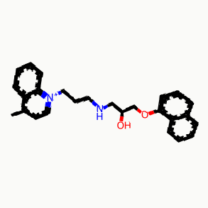 Cc1cc[n+](CCCNCC(O)COc2cccc3ccccc23)c2ccccc12